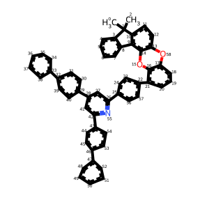 CC1(C)c2ccccc2-c2c1ccc1c2Oc2c(cccc2-c2ccc(-c3cc(-c4ccc(-c5ccccc5)cc4)cc(-c4ccc(-c5ccccc5)cc4)n3)cc2)O1